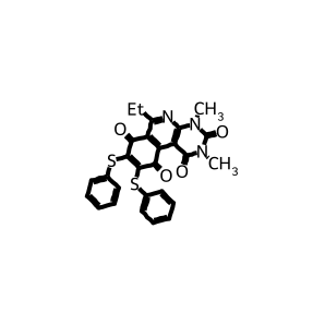 CCc1nc2c(c3c1C(=O)C(Sc1ccccc1)=C(Sc1ccccc1)C3=O)c(=O)n(C)c(=O)n2C